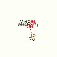 COc1c(O)c(C)c(CCCCCCCCCC[P+](c2ccccc2)(c2ccccc2)c2ccccc2)c(O)c1OC